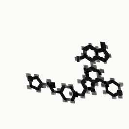 Fc1ccc2[nH]ccc2c1-c1nc(N2CCOCC2)c2sc(CN3CCC(CNC4CCOC4)CC3)cc2n1